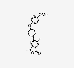 COc1ccc(OC2CCN(c3nc4c(cc3C)C(=O)OC4C)CC2)cn1